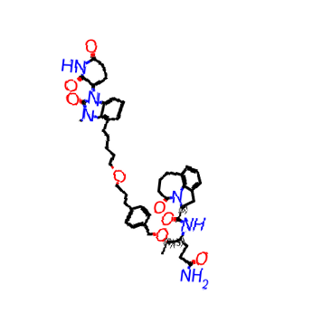 C[C@@H](OCc1ccc(CCCOCCCCCc2cccc3c2n(C)c(=O)n3C2CCC(=O)NC2=O)cc1)[C@H](CCC(N)=O)NC(=O)[C@@H]1Cc2cccc3c2N1C(=O)CCC3